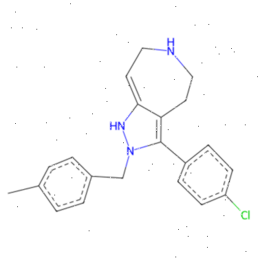 Cc1ccc(CN2NC3=CCNCCC3=C2c2ccc(Cl)cc2)cc1